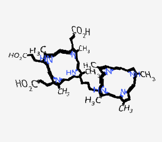 CC1=Cc2cc3[nH]c(cc4nc(cc5[nH]c(cc1n2)c(C)c5CCCc1c(C)c2cc5nc(cc6[nH]c(cc7nc(cc1[nH]2)C(C)=C7CCC(=O)O)c(CCC(=O)O)c6C)C(CCC(=O)O)=C5C)C(C)=C4)cc3C